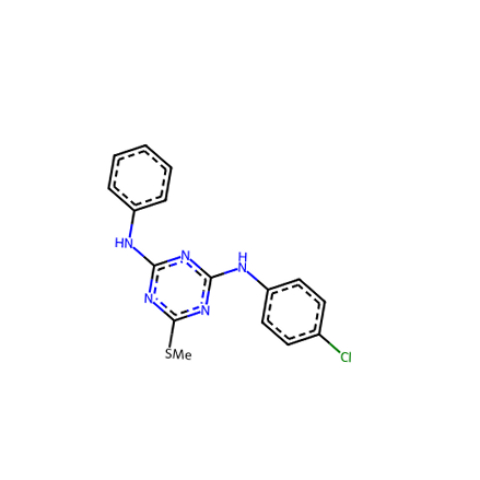 CSc1nc(Nc2ccccc2)nc(Nc2ccc(Cl)cc2)n1